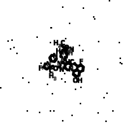 C#Cc1c(F)ccc2cc(O)cc(N3CCc4c(nc(OC[C@]5(C)C[C@@H](F)CN5c5ccncc5)nc4N4C[C@H]5CC(C#N)[C@@H](C4)N5C(=O)C=C)C3)c12